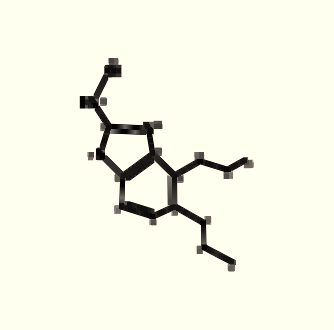 CCCc1ccc2sc(NS)nc2c1CCC